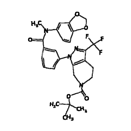 CN(C(=O)c1cccc(-n2nc(C(F)(F)F)c3c2CN(C(=O)OC(C)(C)C)CC3)c1)c1ccc2c(c1)OCO2